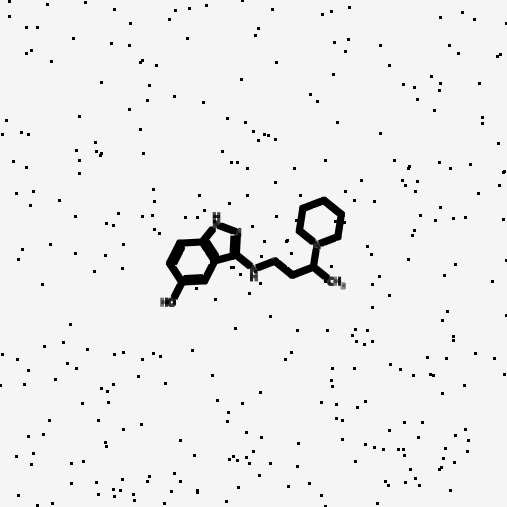 CC(CCNc1n[nH]c2ccc(O)cc12)N1CCCCC1